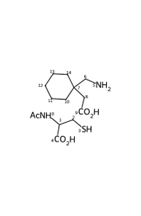 CC(=O)NC(CS)C(=O)O.NCC1(CC(=O)O)CCCCC1